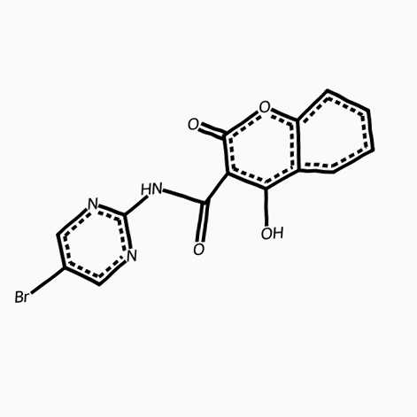 O=C(Nc1ncc(Br)cn1)c1c(O)c2ccccc2oc1=O